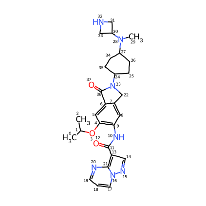 CC(C)Oc1cc2c(cc1NC(=O)c1cnn3cccnc13)CN(C1CCC(N(C)C3CNC3)CC1)C2=O